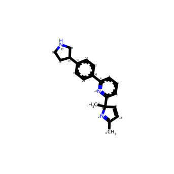 CC1=NC(C)(c2cccc(-c3ccc(C4CCNC4)cc3)n2)C=C1